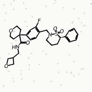 O=C(NCC1COC1)C1(c2ccc(CN3CCC[C@H](c4ccccc4)S3(=O)=O)c(F)c2)CCOCC1